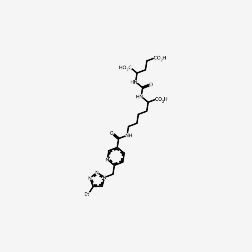 CCc1cn(Cc2ccc(C(=O)NCCCCC(NC(=O)NC(CCC(=O)O)C(=O)O)C(=O)O)cn2)nn1